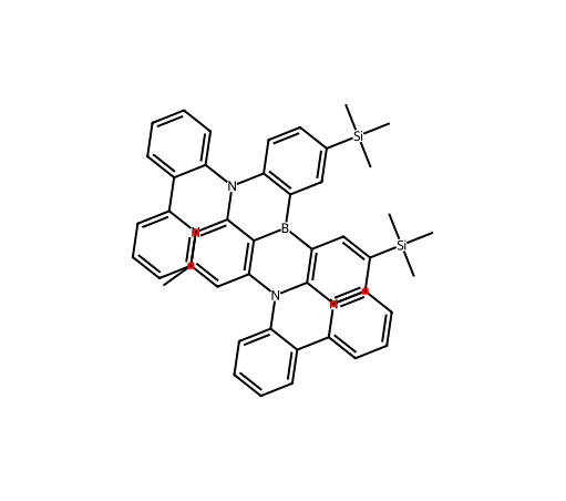 Cc1cc2c3c(c1)N(c1ccccc1-c1ccccn1)c1ccc([Si](C)(C)C)cc1B3c1cc([Si](C)(C)C)ccc1N2c1ccccc1-c1ccccn1